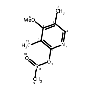 COc1c(C)cnc(OS(C)=O)c1C